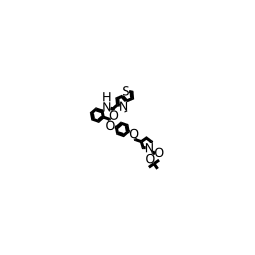 Cn1c(C(=O)Nc2ccccc2COc2ccc(OCC3CCN(C(=O)OC(C)(C)C)C3)cc2)cc2sccc21